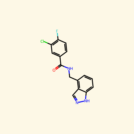 O=C(NCc1cccc2[nH]ncc12)c1ccc(F)c(Cl)c1